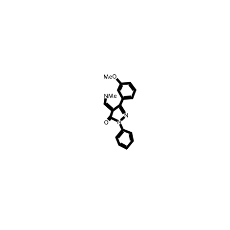 CNC=C1C(=O)N(c2ccccc2)N=C1c1cccc(OC)c1